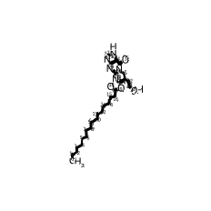 CCCCCCCCCCCCCCCCCC(=O)OCC(CCO)Cn1c(N)nc2nc[nH]c2c1=O